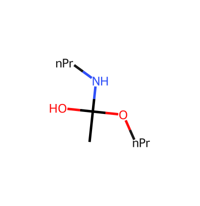 CCCNC(C)(O)OCCC